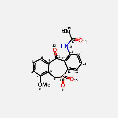 COc1cccc2c1CS(=O)(=O)c1cccc(NC(=O)C(C)(C)C)c1C2=O